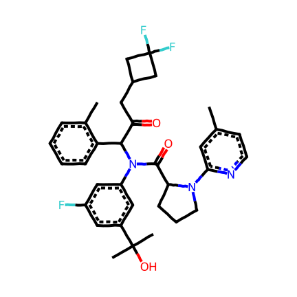 Cc1ccnc(N2CCCC2C(=O)N(c2cc(F)cc(C(C)(C)O)c2)C(C(=O)CC2CC(F)(F)C2)c2ccccc2C)c1